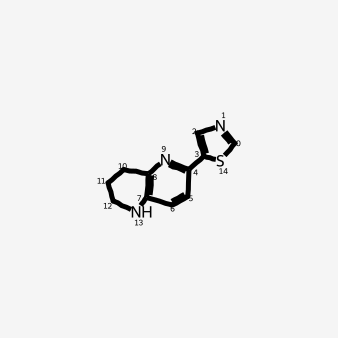 c1ncc(-c2ccc3c(n2)CCCN3)s1